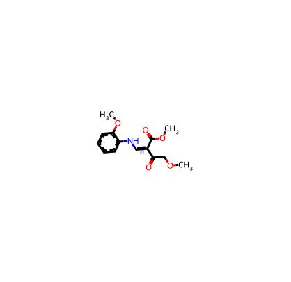 COCC(=O)/C(=C/Nc1ccccc1OC)C(=O)OC